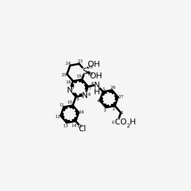 O=C(O)Cc1ccc(Nc2nc(-c3cccc(Cl)c3)nc3c2S(O)(O)CCC3)cc1